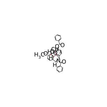 CO[C@@]12C=C[C@]3(C[C@H]1C(C)=O)[C@H]1Cc4ccc(OC(=O)c5ccccc5)c5c4[C@]3(CCN1C(=O)c1ccccc1)[C@@H]2O5